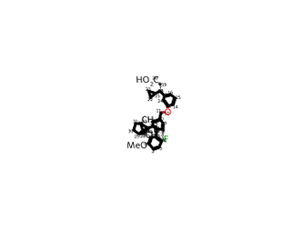 COc1ccc(F)c(-c2ccc(COc3cccc([C@@H](CC(=O)O)C4CC4)c3)cc2C2=CC3CCC2(C)C3(C)C)c1